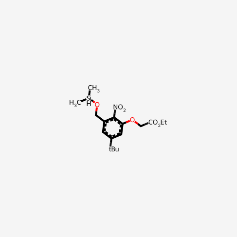 CCOC(=O)COc1cc(C(C)(C)C)cc(CO[SiH](C)C)c1[N+](=O)[O-]